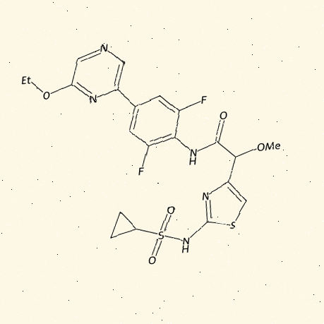 CCOc1cncc(-c2cc(F)c(NC(=O)C(OC)c3csc(NS(=O)(=O)C4CC4)n3)c(F)c2)n1